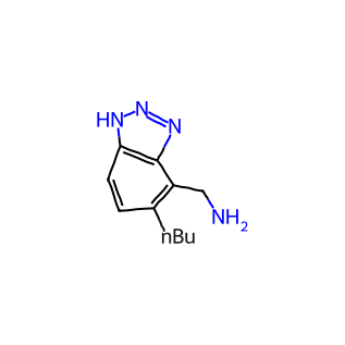 CCCCc1ccc2[nH]nnc2c1CN